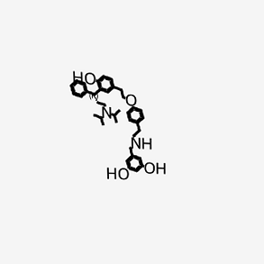 CC(C)N(CC[C@H](c1ccccc1)c1cc(CCOc2ccc(CCNCc3cc(O)cc(O)c3)cc2)ccc1O)C(C)C